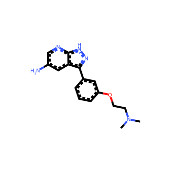 CN(C)CCOc1cccc(-c2n[nH]c3ncc(N)cc23)c1